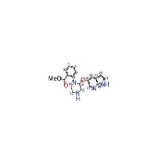 COC(=O)c1ccccc1N1CCNCC1Oc1cnc2[nH]ccc2c1